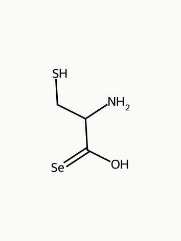 NC(CS)C(O)=[Se]